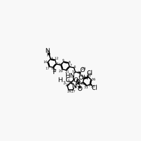 C[C@@]1(C(=O)NC(Cc2ccc(-c3cc(C#N)ccc3F)cc2)C(=O)O)CCCN1S(=O)(=O)c1cc(Cl)cc(Cl)c1